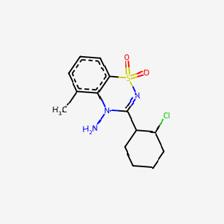 Cc1cccc2c1N(N)C(C1CCCCC1Cl)=NS2(=O)=O